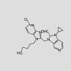 O=CC1N(Cc2nc3nc(Cl)ccc3n2CCCCO)c2cnccc2N1C1CC1